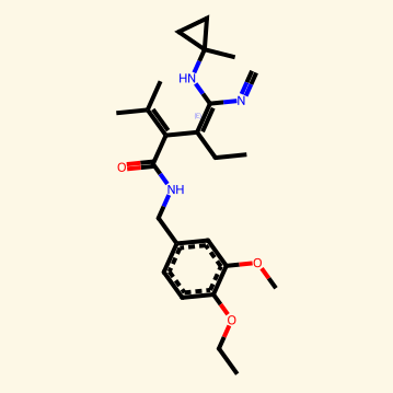 C=N/C(NC1(C)CC1)=C(\CC)C(C(=O)NCc1ccc(OCC)c(OC)c1)=C(C)C